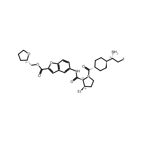 CC[C@@H]1CCN(C(=O)[C@H]2CC[C@H]([C@H](N)CF)CC2)[C@@H]1C(=O)Nc1ccc2oc(C(=O)OC[C@@H]3CCCO3)cc2c1